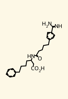 N=C(N)c1ccc(CCCCC(=O)NC(CCCCc2ccccc2)CC(=O)O)cc1